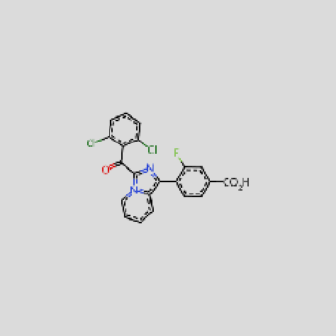 O=C(O)c1ccc(-c2nc(C(=O)c3c(Cl)cccc3Cl)n3ccccc23)c(F)c1